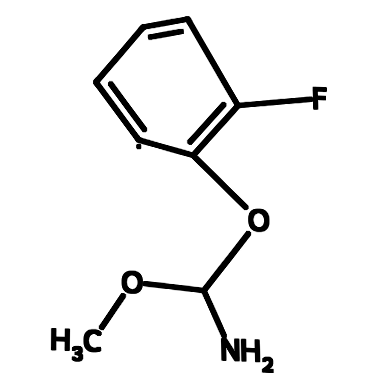 COC(N)Oc1[c]cccc1F